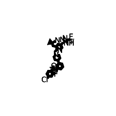 C[C@]1(c2ccc(Cl)cc2F)Oc2cccc(C3CCN(Cc4ncc(-c5nnc(C(F)F)[nH]5)cc4CC4(C#N)CC4)CC3)c2O1